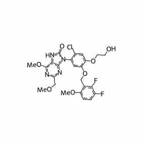 COCc1nc(OC)c2[nH]c(=O)n(-c3cc(OCc4c(OC)ccc(F)c4F)c(OCCO)cc3Cl)c2n1